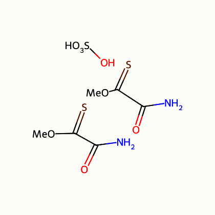 COC(=S)C(N)=O.COC(=S)C(N)=O.O=S(=O)(O)O